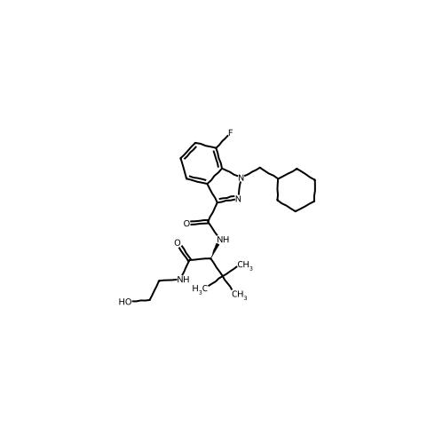 CC(C)(C)[C@H](NC(=O)c1nn(CC2CCCCC2)c2c(F)cccc12)C(=O)NCCO